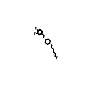 F/C=C/CCCC[C@H]1CC[C@H](CCc2ccc(F)c(F)c2)CC1